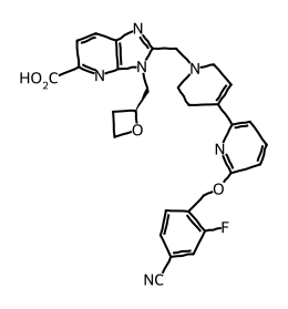 N#Cc1ccc(COc2cccc(C3=CCN(Cc4nc5ccc(C(=O)O)nc5n4C[C@@H]4CCO4)CC3)n2)c(F)c1